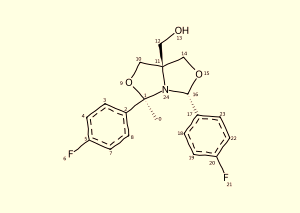 C[C@]1(c2ccc(F)cc2)OC[C@]2(CO)CO[C@H](c3ccc(F)cc3)N21